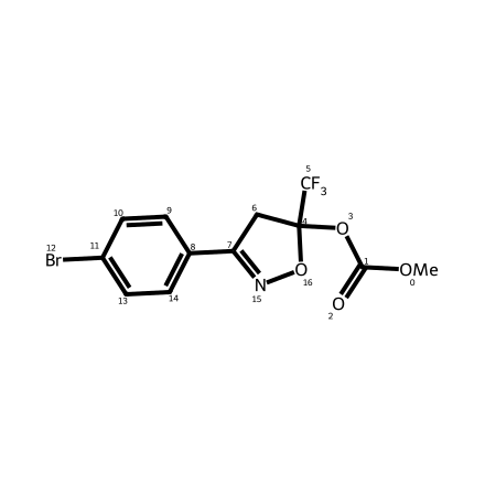 COC(=O)OC1(C(F)(F)F)CC(c2ccc(Br)cc2)=NO1